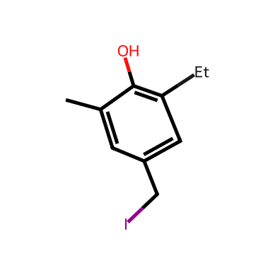 CCc1cc(CI)cc(C)c1O